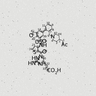 CC(=O)CC1CCN(Cc2ccccc2-c2cc3c(c(S(=O)(=O)Nc4ccsc4C(=O)N(CCCCC(=O)O)NC(=N)N)c2)COC3)CC1